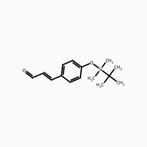 CC(C)(C)[Si](C)(C)Oc1ccc(C=C[C]=O)cc1